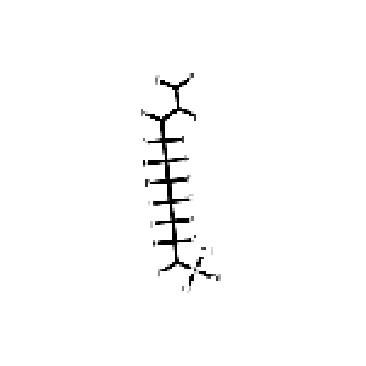 O[Si](O)(O)C(F)C(F)(F)C(F)(F)C(F)(F)C(F)(F)C(F)(F)C(F)(F)C(F)C(F)C(F)F